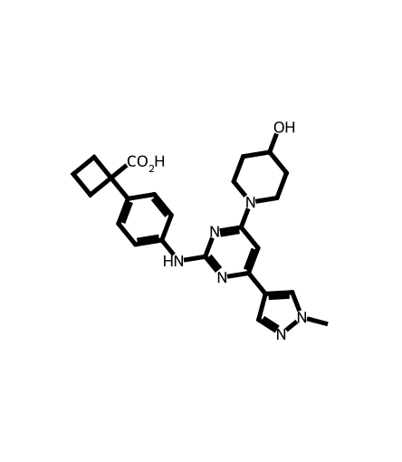 Cn1cc(-c2cc(N3CCC(O)CC3)nc(Nc3ccc(C4(C(=O)O)CCC4)cc3)n2)cn1